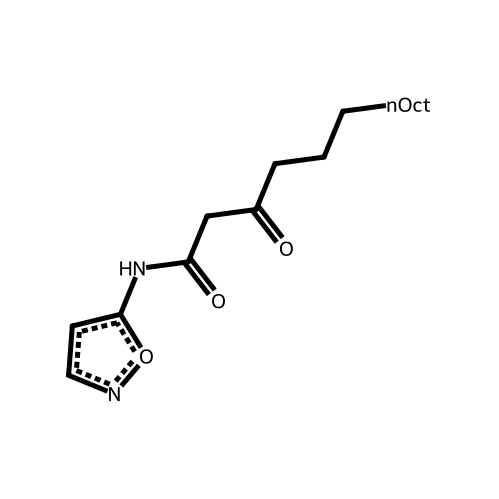 CCCCCCCCCCCC(=O)CC(=O)Nc1ccno1